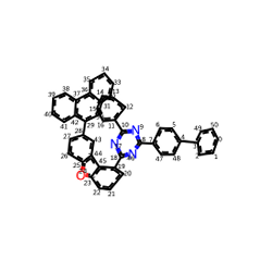 c1ccc(-c2ccc(-c3nc(-c4ccccc4)nc(-c4cccc5oc6ccc(-c7cc8ccccc8c8ccccc78)cc6c45)n3)cc2)cc1